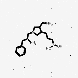 NCC1CN(CC(N)Cc2ccccc2)CC1CCCB(O)O